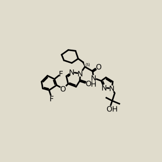 CC(C)(O)Cn1ccc(NC(=O)[C@H](CC2CCCCC2)n2ncc(Oc3c(F)cccc3F)cc2=O)n1